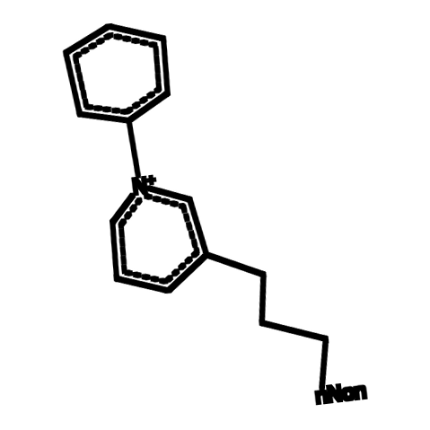 CCCCCCCCCCCCc1ccc[n+](-c2ccccc2)c1